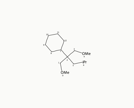 COCC(COC)(CC(C)C)C1CCCCC1